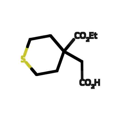 CCOC(=O)C1(CC(=O)O)CCSCC1